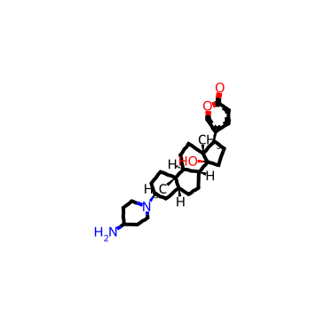 C[C@]12CC[C@H](N3CCC(N)CC3)C[C@H]1CC[C@@H]1[C@@H]2CC[C@]2(C)[C@@H](c3ccc(=O)oc3)CC[C@]12O